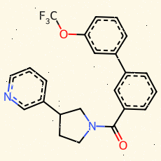 O=C(c1cccc(-c2cccc(OC(F)(F)F)c2)c1)N1CCC(c2cccnc2)C1